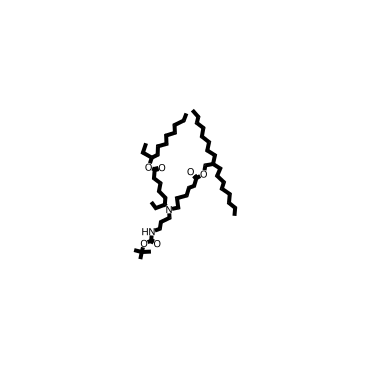 CCCCCCCCC(CCCCCCCC)COC(=O)CCCCCN(CCCNC(=O)OC(C)(C)C)C(CC)CCCCC(=O)OC(CC)CCCCCCCC